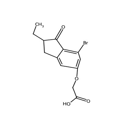 CCC1Cc2cc(OCC(=O)O)cc(Br)c2C1=O